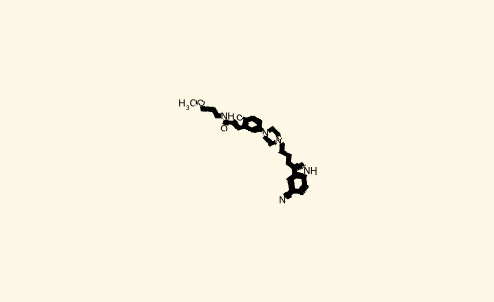 COCCCNC(=O)c1cc2cc(N3CCN(CCCCc4c[nH]c5ccc(C#N)cc45)CC3)ccc2o1